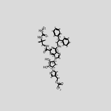 CCNC(=O)NC(C)(C)CNC(=O)c1nc(NCC(c2ccccc2)c2ccccc2)c2ncn([C@@H]3C[C@H](n4cc(COC(=O)C(F)(F)F)cn4)[C@@H](O)[C@H]3O)c2n1